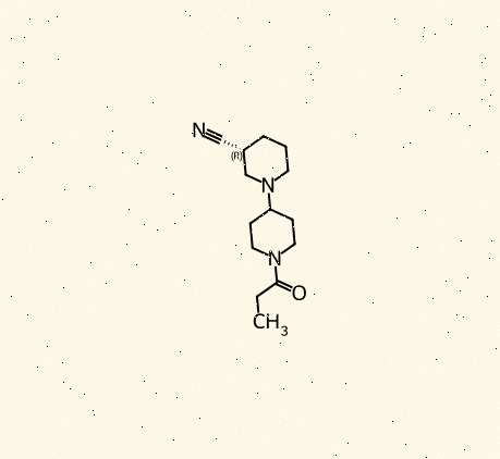 CCC(=O)N1CCC(N2CCC[C@@H](C#N)C2)CC1